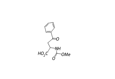 COC(=O)NC(CC(=O)c1ccccc1)C(=O)O